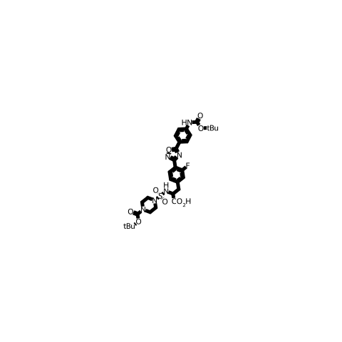 CC(C)(C)OC(=O)Nc1ccc(-c2nc(-c3ccc(CC(NS(=O)(=O)N4CCN(C(=O)OC(C)(C)C)CC4)C(=O)O)cc3F)no2)cc1